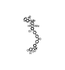 CCc1cc(Nc2ncc(Br)c(Nc3ccc4nccnc4c3P(C)(C)=O)n2)c(OC)cc1N1CCC(N2CCN(C(=O)C3CCN(c4ccc5c(c4)C(C)(C)C(=O)N5C4CCC(=O)NC4=O)CC3)CC2)CC1